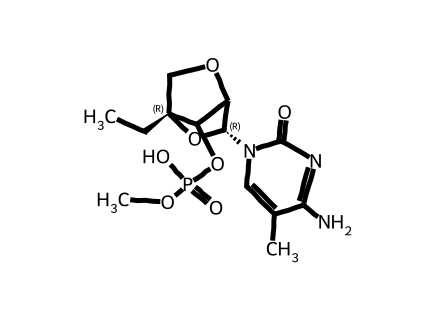 CC[C@@]12COC(C1OP(=O)(O)OC)[C@H](n1cc(C)c(N)nc1=O)O2